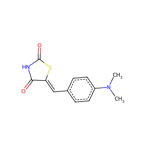 CN(C)c1ccc(/C=C2\SC(=O)NC2=O)cc1